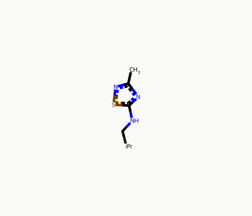 Cc1nsc(NCC(C)C)n1